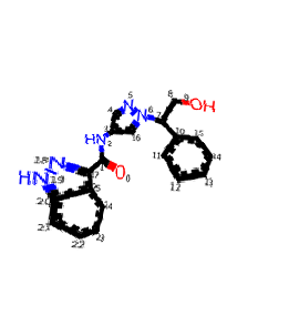 O=C(Nc1cnn(C(CO)c2ccccc2)c1)c1n[nH]c2ccccc12